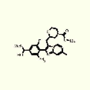 CNC(O)c1cc(F)c(-c2nc3cc(C)ncn3c2CC2CN(C(=O)OC(C)(C)C)CCO2)c(P)c1